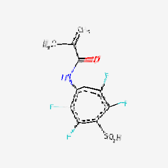 C=C(C)C(=O)Nc1c(F)c(F)c(S(=O)(=O)O)c(F)c1F